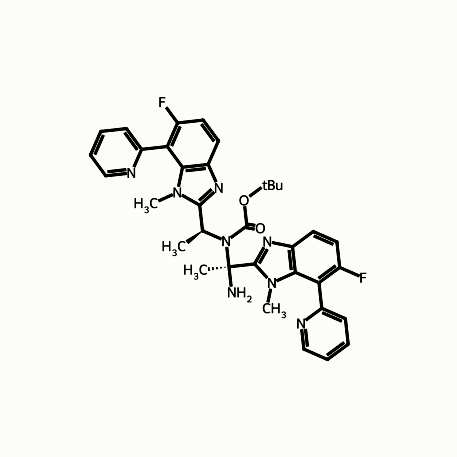 C[C@@H](c1nc2ccc(F)c(-c3ccccn3)c2n1C)N(C(=O)OC(C)(C)C)[C@](C)(N)c1nc2ccc(F)c(-c3ccccn3)c2n1C